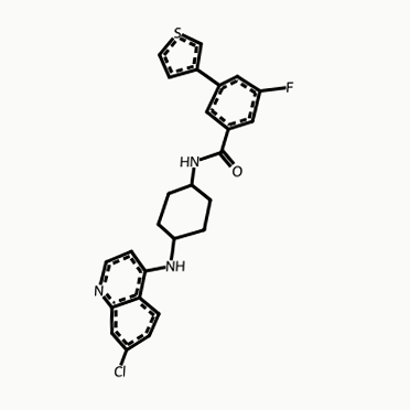 O=C(NC1CCC(Nc2ccnc3cc(Cl)ccc23)CC1)c1cc(F)cc(-c2ccsc2)c1